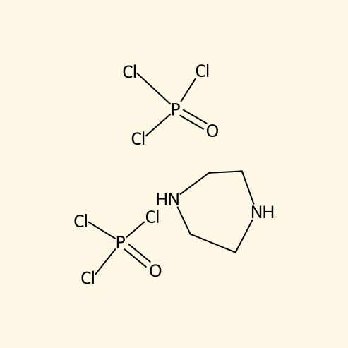 C1CNCCN1.O=P(Cl)(Cl)Cl.O=P(Cl)(Cl)Cl